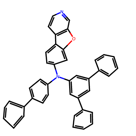 c1ccc(-c2ccc(N(c3cc(-c4ccccc4)cc(-c4ccccc4)c3)c3ccc4c(c3)oc3cnccc34)cc2)cc1